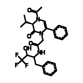 CC(=O)N1C=C(c2ccccc2)N(CC(=O)NC(Cc2ccccc2)C(O)C(F)(F)F)C(=O)[C@H]1C(C)C